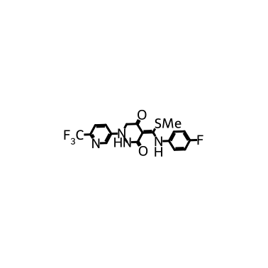 CSC(Nc1ccc(F)cc1)=C1C(=O)CN(c2ccc(C(F)(F)F)nc2)NC1=O